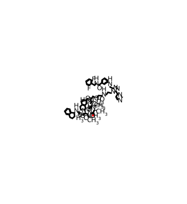 C[C@@H](C(=O)NC(C(=O)N1Cc2cc(OCCOCC(=O)NCCCn3c(CNc4cccc(C(=O)NCc5c(F)cccc5F)c4)nnc3-c3ccncn3)ccc2C[C@H]1C(=O)N[C@@H]1CCCc2ccccc21)C(C)(C)C)N(C)C(=O)OC(C)(C)C